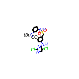 CC(C)(C)N(C(=O)O)c1cccc(NS(=O)(=O)Cc2cccc(Nc3nc(Cl)ncc3Cl)c2)c1